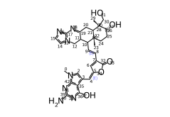 Cn1cc(/C=C2C=C(/C=C/C3C4Cn5ccnc5N=C4CC4[C@]3(C)CC[C@@H](O)[C@@]4(C)CO)C(=O)O\2)c2c(O)nc(N)nc21